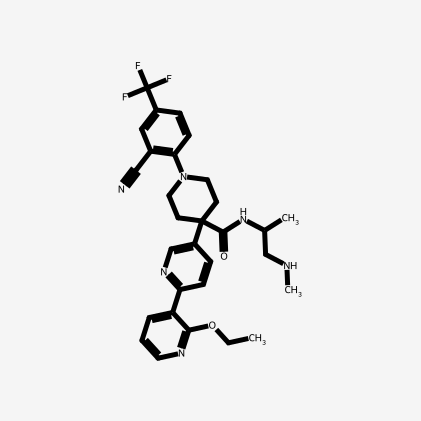 CCOc1ncccc1-c1ccc(C2(C(=O)NC(C)CNC)CCN(c3ccc(C(F)(F)F)cc3C#N)CC2)cn1